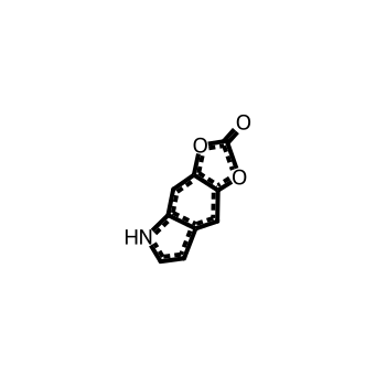 O=c1oc2cc3cc[nH]c3cc2o1